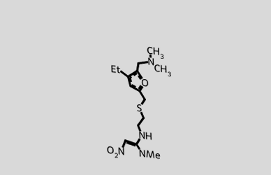 CCc1cc(CSCCNC(=C[N+](=O)[O-])NC)oc1CN(C)C